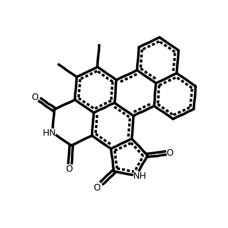 Cc1c2c3c(c4c(=O)[nH]c(=O)c4c4c5cccc6cccc(c(c1C)c34)c65)C(=O)NC2=O